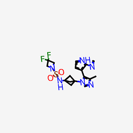 C=Nc1[nH]ccc1-c1c(C)ncn1C12CC(NS(=O)(=O)N3CC(F)(F)C3)(C1)C2